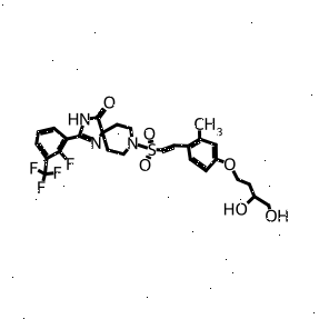 Cc1cc(OCCC(O)CO)ccc1C=CS(=O)(=O)N1CCC2(CC1)N=C(c1cccc(C(F)(F)F)c1F)NC2=O